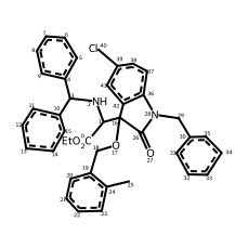 CCOC(=O)C(NC(c1ccccc1)c1ccccc1)C1(OCc2ccccc2C)C(=O)N(Cc2ccccc2)c2ccc(Cl)cc21